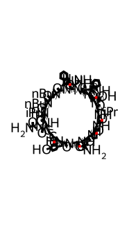 CCCC[C@H]1C(=O)N(C)[C@@H](CCCC)C(=O)N[C@@H](CC(C)C)C(=O)N[C@H](C(=O)NCC(N)=O)CSCC(=O)N[C@@H](Cc2ccc(O)cc2)C(=O)N(C)[C@@H](C)C(=O)N[C@@H](CC(N)=O)C(=O)N2CCC[C@H]2C(=O)NC2(CC2)C(=O)N[C@@H](CC(C)C)C(=O)N2C[C@H](O)C[C@H]2C(=O)N[C@@H](Cc2c[nH]c3ccccc23)C(=O)N[C@@H](CCN)C(=O)N[C@@H](Cc2c[nH]c3ccccc23)C(=O)N1C